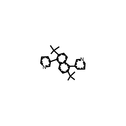 CC(C)(C)c1ccc2c(-c3cccnc3)c(C(C)(C)C)ccc2c1-c1cccnc1